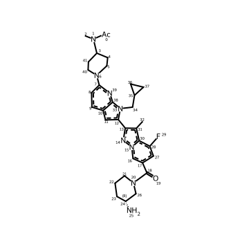 CC(=O)N(C)C1CCN(c2ccc3cc(-c4nn5cc(C(=O)N6CCC[C@@H](N)C6)cc(F)c5c4C)n(CC4CC4)c3n2)CC1